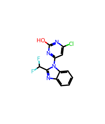 Oc1nc(Cl)cc(-n2c(C(F)F)nc3ccccc32)n1